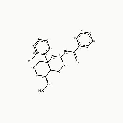 CO[C@H]1COCC2(c3ccccc3F)NC(NC(=O)c3ccccc3)SCC12